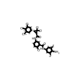 Nc1c(F)cc(NC(=O)c2cc(NC(=O)C3[C@H](c4cc(Cl)c(Cl)c(Cl)c4)C3(Cl)Cl)ccc2Cl)cc1F